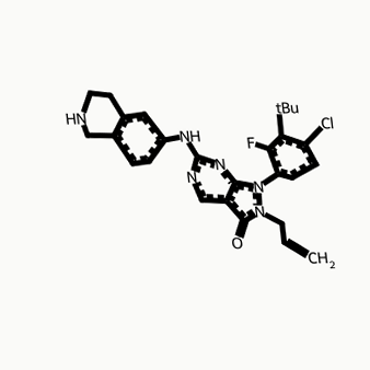 C=CCn1c(=O)c2cnc(Nc3ccc4c(c3)CCNC4)nc2n1-c1ccc(Cl)c(C(C)(C)C)c1F